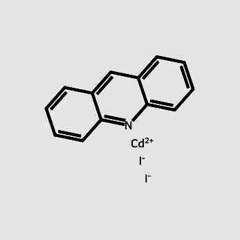 [Cd+2].[I-].[I-].c1ccc2nc3ccccc3cc2c1